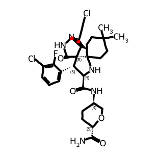 CC1(C)CCC2(CC1)N[C@@H](C(=O)N[C@@H]1CC[C@@H](C(N)=O)OC1)[C@H](c1cccc(Cl)c1F)[C@]21C(=O)Nc2nc(Cl)ccc21